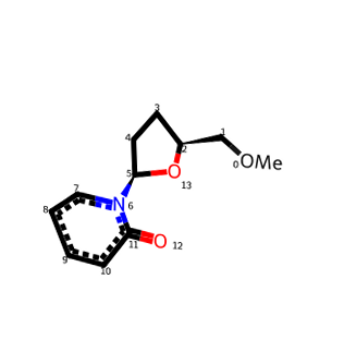 COC[C@@H]1CC[C@H](n2ccccc2=O)O1